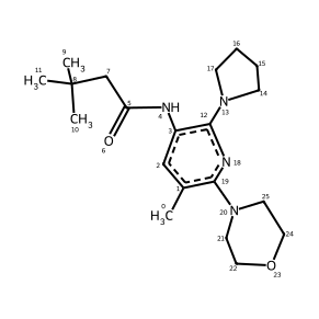 Cc1cc(NC(=O)CC(C)(C)C)c(N2CCCC2)nc1N1CCOCC1